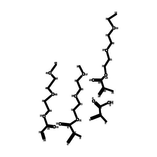 C=C(C)C(=O)O.C=C(C)C(=O)OCCOCCOC.C=C(C)C(=O)OCCOCCOCC.C=CC(=O)OCCOCCOC